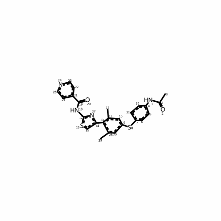 CC(=O)Nc1ccc(Sc2cc(C)c(-c3csc(NC(=O)c4ccncc4)n3)c(C)c2)cc1